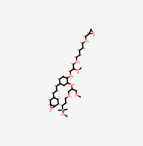 COCC(COCCC[Si](C)(C)OC)OC1CC(CCCC2CCC3OC3C2)CCC1OCC(COCCCCCOCC1CO1)OC